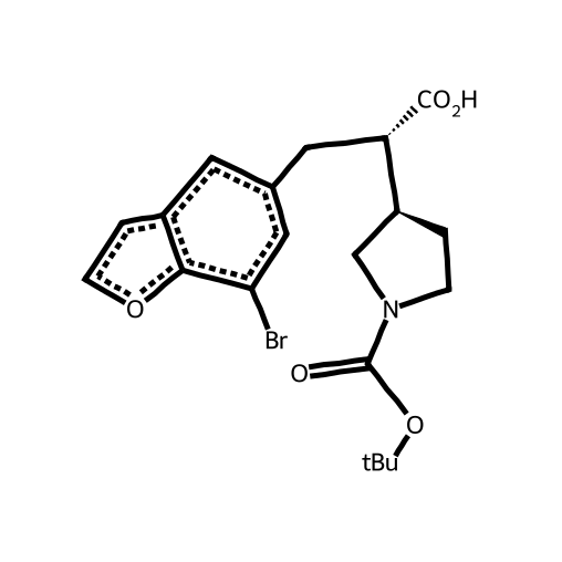 CC(C)(C)OC(=O)N1CC[C@H]([C@H](Cc2cc(Br)c3occc3c2)C(=O)O)C1